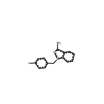 Nc1nn(Cc2ccc(F)cc2)c2ccccc12